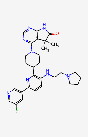 CC1(C)C(=O)Nc2ncnc(N3CCC(c4nc(-c5cncc(F)c5)ccc4NCCN4CCCC4)CC3)c21